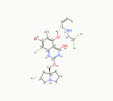 C/C=C\[C@@H](COc1c(Cl)c(Br)c(F)c2nc(OC[C@@]34CCCN3C[C@H](F)C4)nc(O)c12)NCC(F)F